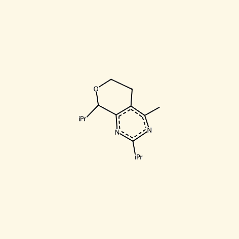 Cc1nc(C(C)C)nc2c1CCOC2C(C)C